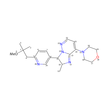 COC(C)(C)Cc1ccc(C2C(C)N=C3C(N4CCOCC4)=CC=NN32)cn1